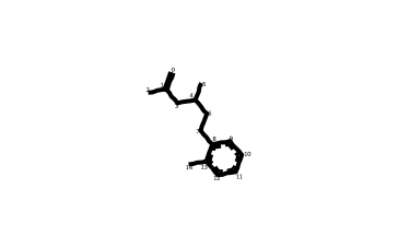 C=C(C)CC(C)CCc1ccccc1C